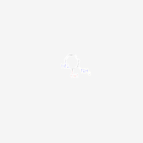 NC1CCCCNC1O